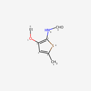 CCOc1cc(C)sc1NC=O